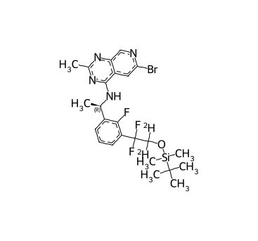 [2H]C([2H])(O[Si](C)(C)C(C)(C)C)C(F)(F)c1cccc([C@@H](C)Nc2nc(C)nc3cnc(Br)cc23)c1F